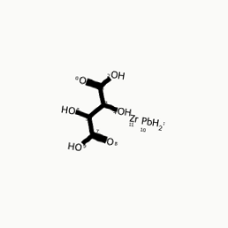 O=C(O)C(O)C(O)C(=O)O.[PbH2].[Zr]